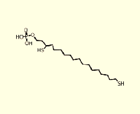 O=P(O)(O)OCCC(S)CCCCCCCCCCCCCCCS